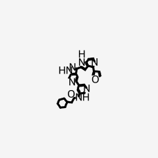 O=C(CC1CCCCC1)Nc1cncc(-c2cc3c(-c4cc5c(-c6ccoc6)nccc5[nH]4)n[nH]c3cn2)c1